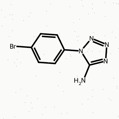 Nc1nnnn1-c1ccc(Br)cc1